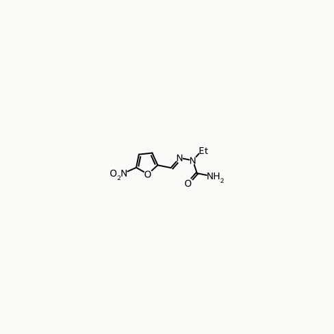 CCN(/N=C/c1ccc([N+](=O)[O-])o1)C(N)=O